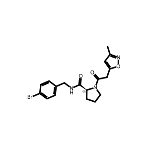 Cc1cc(CC(=O)N2CCC[C@H]2C(=O)NCc2ccc(Br)cc2)on1